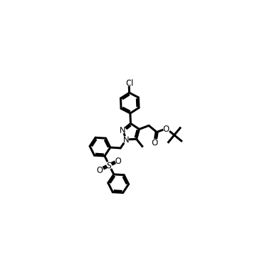 Cc1c(CC(=O)OC(C)(C)C)c(-c2ccc(Cl)cc2)nn1Cc1ccccc1S(=O)(=O)c1ccccc1